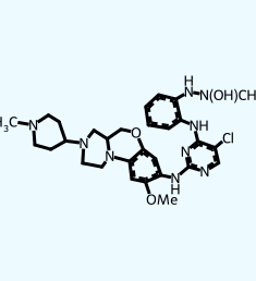 COc1cc2c(cc1Nc1ncc(Cl)c(Nc3ccccc3NN(C)O)n1)OCC1CN(C3CCN(C)CC3)CCN21